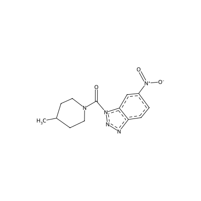 CC1CCN(C(=O)n2nnc3ccc([N+](=O)[O-])cc32)CC1